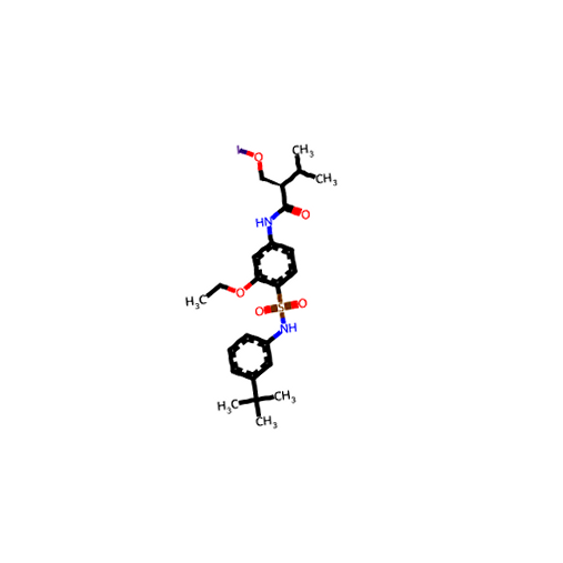 CCOc1cc(NC(=O)[C@@H](COI)C(C)C)ccc1S(=O)(=O)Nc1cccc(C(C)(C)C)c1